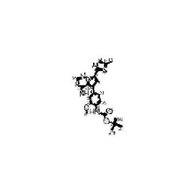 COc1cc(-c2cc(-c3ncc(C)s3)n3ncnc(N)c23)ccc1NC(=O)OC(C)(C)C